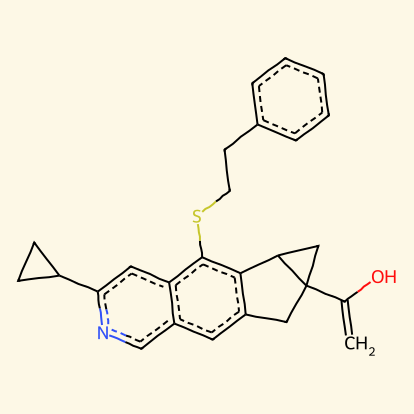 C=C(O)C12Cc3cc4cnc(C5CC5)cc4c(SCCc4ccccc4)c3C1C2